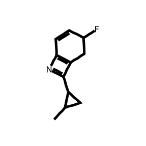 CC1CC1C1=NC2=C1CC(F)C=C2